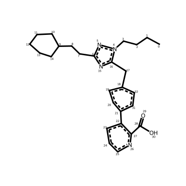 CCCCn1nc(CCC2CCCCC2)nc1Cc1ccc(-c2cccnc2C(=O)O)cc1